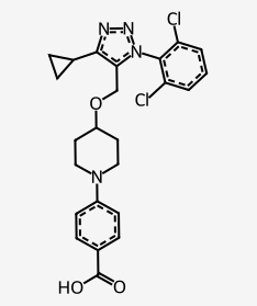 O=C(O)c1ccc(N2CCC(OCc3c(C4CC4)nnn3-c3c(Cl)cccc3Cl)CC2)cc1